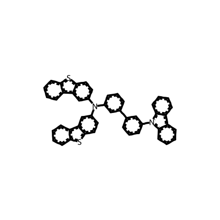 c1cc(-c2cccc(-n3c4ccccc4c4ccccc43)c2)cc(N(c2ccc3sc4ccccc4c3c2)c2ccc3sc4ccccc4c3c2)c1